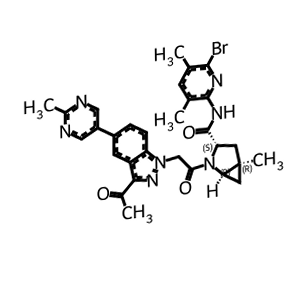 CC(=O)c1nn(CC(=O)N2[C@H](C(=O)Nc3nc(Br)c(C)cc3C)C[C@@]3(C)C[C@@H]23)c2ccc(-c3cnc(C)nc3)cc12